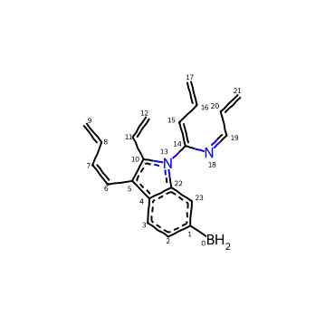 Bc1ccc2c(/C=C\C=C)c(C=C)n(C(=C/C=C)/N=C\C=C)c2c1